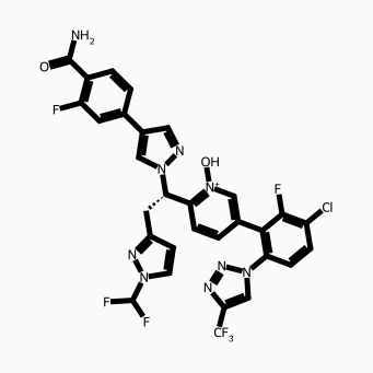 NC(=O)c1ccc(-c2cnn([C@@H](Cc3ccn(C(F)F)n3)c3ccc(-c4c(-n5cc(C(F)(F)F)nn5)ccc(Cl)c4F)c[n+]3O)c2)cc1F